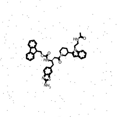 CC(=O)NCCn1c(C2CCCN(C(=O)C[C@@H](Cc3ccc4nc(N)sc4c3)NC(=O)OCC3c4ccccc4-c4ccccc43)C2)cc2ccccc21